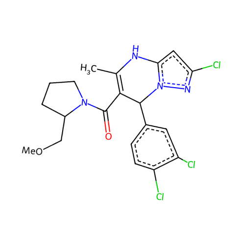 COCC1CCCN1C(=O)C1=C(C)Nc2cc(Cl)nn2C1c1ccc(Cl)c(Cl)c1